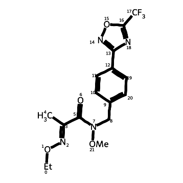 CCON=C(C)C(=O)N(Cc1ccc(-c2noc(C(F)(F)F)n2)cc1)OC